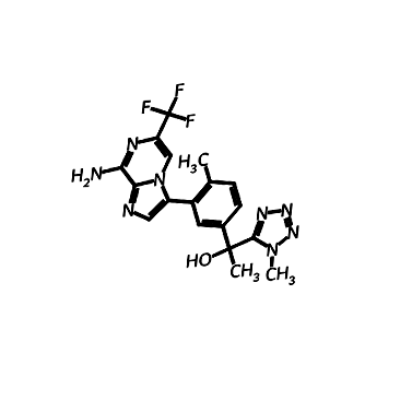 Cc1ccc(C(C)(O)c2nnnn2C)cc1-c1cnc2c(N)nc(C(F)(F)F)cn12